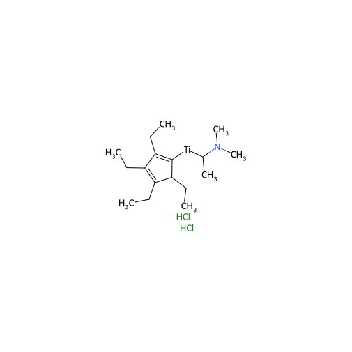 CCC1=C(CC)C(CC)[C]([Ti][CH](C)N(C)C)=C1CC.Cl.Cl